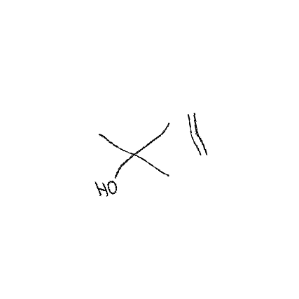 C=C.CC(C)(C)O